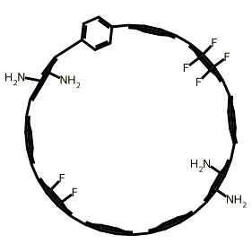 Nc1cc2c(N)cc1-c1ccc(cc1)-c1ccc(cc1)-c1c(F)c(F)c(c(F)c1F)-c1ccc(cc1)-c1cc(N)c(cc1N)-c1ccc(cc1)-c1ccc(cc1)-c1ccc(c(F)c1F)-c1ccc-2cc1